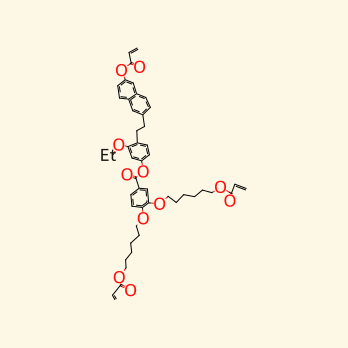 C=CC(=O)OCCCCCCOc1ccc(C(=O)Oc2ccc(CCc3ccc4cc(OC(=O)C=C)ccc4c3)c(OCC)c2)cc1OCCCCCCOC(=O)C=C